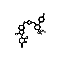 CC1(C)CCC(CN2CC(Sc3ccc4c(c3)CN(C3CCC(=O)NC3=O)C4=O)C2)=C(c2ccc(F)cc2)C1